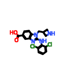 O=C(O)c1ccc2c(c1)nc(Nc1c(Cl)cccc1Cl)n2CC1CNC1